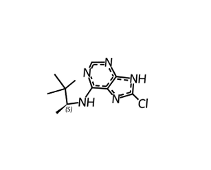 C[C@H](Nc1ncnc2[nH]c(Cl)nc12)C(C)(C)C